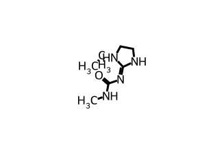 CC.CNC(=O)N=C1NCCN1